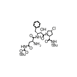 CC(C)(C)NC(=O)[C@@H]1C[C@H](Cl)CN1C(=O)[C@@H](O)[C@H](Cc1ccccc1)NC(=O)[C@@H](N)CC(=O)NC(=O)OC(C)(C)C